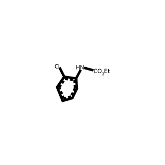 CCOC(=O)Nc1ccccc1Cl